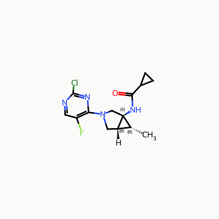 C[C@@H]1[C@@H]2CN(c3nc(Cl)ncc3F)C[C@]12NC(=O)C1CC1